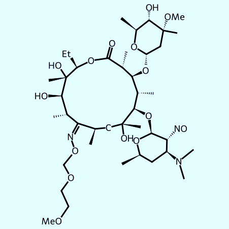 CC[C@H]1OC(=O)[C@H](C)[C@@H](O[C@H]2C[C@@](C)(OC)[C@@H](O)[C@H](C)O2)[C@H](C)[C@@H](O[C@@H]2O[C@H](C)C[C@H](N(C)C)[C@H]2N=O)[C@](C)(O)C[C@@H](C)/C(=N\OCOCCOC)[C@H](C)[C@@H](O)[C@]1(C)O